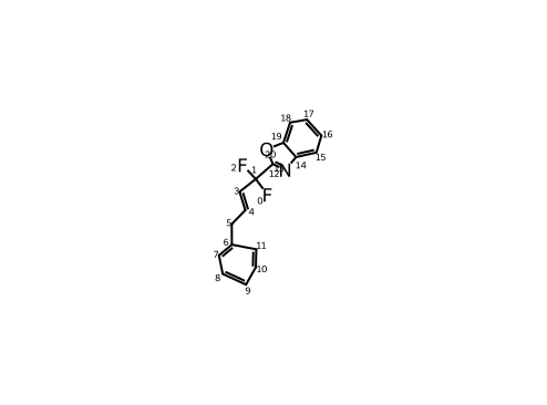 FC(F)(C=CCc1ccccc1)c1nc2ccccc2o1